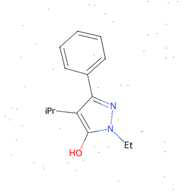 CCn1nc(-c2ccccc2)c(C(C)C)c1O